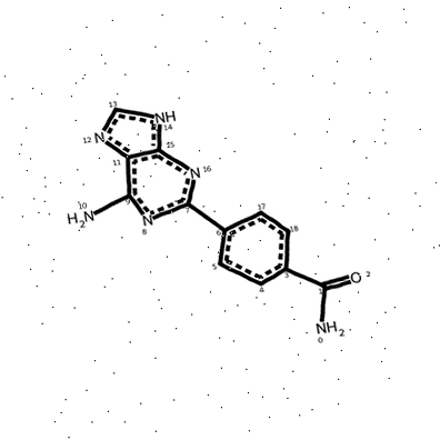 NC(=O)c1ccc(-c2nc(N)c3nc[nH]c3n2)cc1